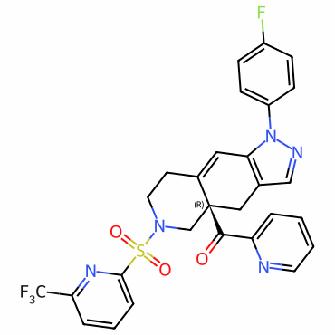 O=C(c1ccccn1)[C@]12Cc3cnn(-c4ccc(F)cc4)c3C=C1CCN(S(=O)(=O)c1cccc(C(F)(F)F)n1)C2